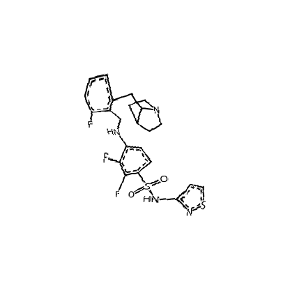 O=S(=O)(Nc1ccsn1)c1ccc(NCc2c(F)cccc2CC2C3CCN2CC3)c(F)c1F